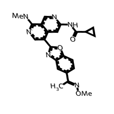 CNc1ncc(-c2nc3cc(C(C)=NOC)ccc3o2)c2cc(NC(=O)C3CC3)ncc12